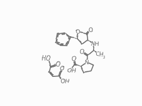 C[C@H](N[C@H]1C[C@@H](c2ccccc2)OC1=O)C(=O)N1CCC[C@H]1C(=O)O.O=C(O)/C=C\C(=O)O